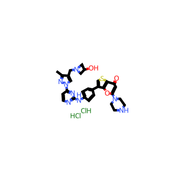 Cc1nn(-c2ccnc(Nc3ccc(-c4csc5c(=O)cc(N6CCNCC6)oc45)cc3)n2)cc1CN1CC(O)C1.Cl.Cl